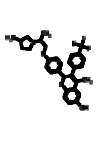 CC1=C(c2ccc(C(F)(F)F)cc2)C(c2ccc(OCC(C)N3CCC(C)C3)cc2)Oc2ccc(O)cc21